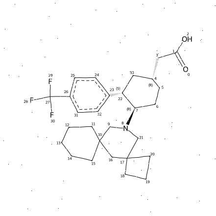 O=C(O)C[C@@H]1CC[C@@H](N2CC3(CCCCC3)CC3(CCC3)C2)[C@H](c2ccc(C(F)(F)F)cc2)C1